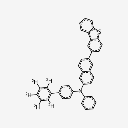 [2H]c1c([2H])c([2H])c(-c2ccc(N(c3ccccc3)c3ccc4cc(-c5ccc6sc7ccccc7c6c5)ccc4c3)cc2)c([2H])c1[2H]